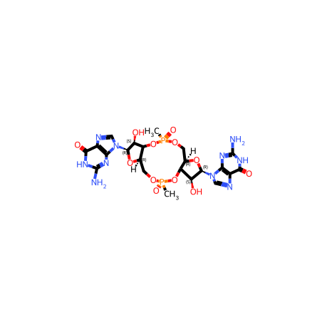 CP1(=O)OC[C@H]2O[C@@H](n3cnc4c(=O)[nH]c(N)nc43)[C@@H](O)C2OP(C)(=O)OC[C@H]2O[C@@H](n3cnc4c(=O)[nH]c(N)nc43)[C@@H](O)C2O1